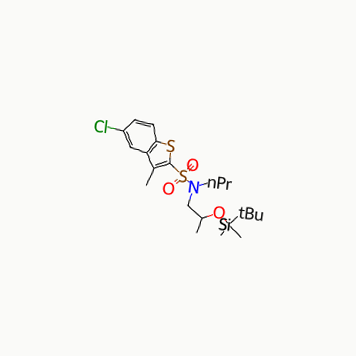 CCCN(CC(C)O[Si](C)(C)C(C)(C)C)S(=O)(=O)c1sc2ccc(Cl)cc2c1C